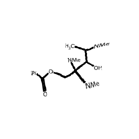 CNC(C)C(O)C(COC(=O)C(C)C)(NC)NC